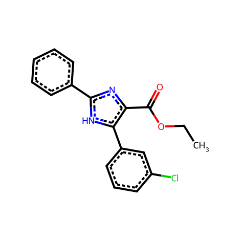 CCOC(=O)c1nc(-c2ccccc2)[nH]c1-c1cccc(Cl)c1